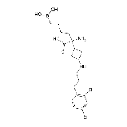 NC(CCCCB(O)O)(C(=O)O)C1CC(NCCCc2ccc(Cl)cc2Cl)C1